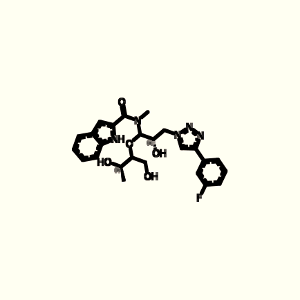 C[C@@H](O)C(CO)OC([C@@H](O)Cn1cc(-c2cccc(F)c2)nn1)N(C)C(=O)c1cc2ccccc2[nH]1